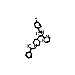 OC(CN1CCC(c2oc(-c3ccc(F)cc3)nc2-c2ncccn2)CC1)c1ccccc1